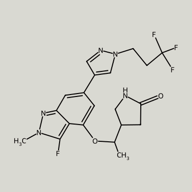 CC(Oc1cc(-c2cnn(CCC(F)(F)F)c2)cc2nn(C)c(F)c12)C1CNC(=O)C1